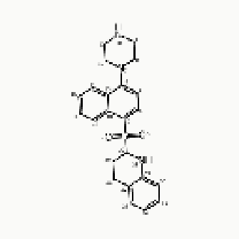 O=S(=O)(c1ccc(N2CCNCC2)c2ccccc12)C1CCc2ccccc2N1